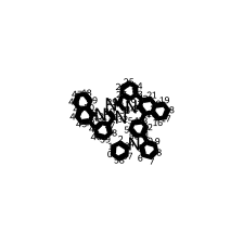 c1ccc(-n2c3ccccc3c3cc(-c4c5ccccc5cc5c6cccc7c8nc9c(nc8n(c45)c67)c4cccc5c6ccc7ccccc7c6n9c54)ccc32)cc1